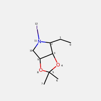 CCC1C2OC(C)(C)OC2CN1I